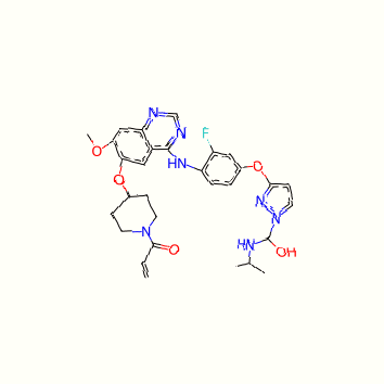 C=CC(=O)N1CCC(Oc2cc3c(Nc4ccc(Oc5ccn(C(O)NC(C)C)n5)cc4F)ncnc3cc2OC)CC1